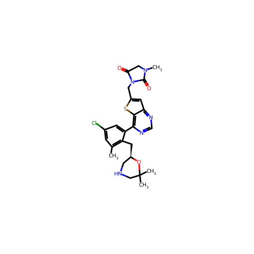 Cc1cc(Cl)cc(-c2ncnc3cc(CN4C(=O)CN(C)C4=O)sc23)c1C[C@@H]1CNCC(C)(C)O1